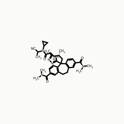 Cc1nnc(C2(C[C@@H](C)NCC(=O)N(C(C)C#N)C3CC3)c3ccc(C(=O)N(C)C)cc3CCc3cc(C(=O)N(C)C)ccc32)o1